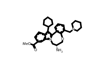 COC(=O)c1ccc2c(C3CCCCC3)c3n(c2c1)C[C@@H](N)COc1c(CN2CCCCC2)cccc1-3